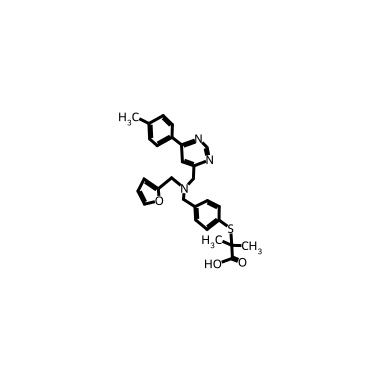 Cc1ccc(-c2cc(CN(Cc3ccc(SC(C)(C)C(=O)O)cc3)Cc3ccco3)ncn2)cc1